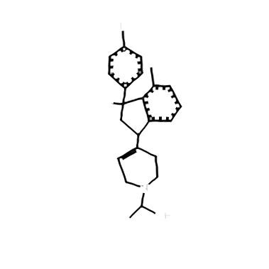 Cc1cccc2c1C(O)(c1ccc(F)cc1)CC2C1=CCN(C(C)O)CC1